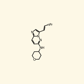 CCC/C=C/c1cnc2ccc(NC3CCOCC3)nn12